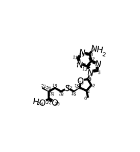 CC1C[C@H](n2cnc3c(N)ncnc32)O[C@@H]1CSCC[C@H](C)C(=O)O